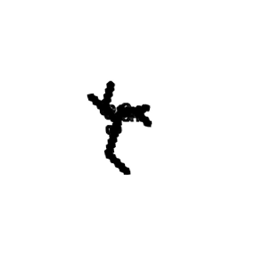 CCCCCCCC/C=C\CCCCCCCC(=O)OCCN(CCOC(=O)OC(CCCCCC)CCCCCCCCC)CCN(CC)C(O)C(=O)OCC(CCCC)CCCCCC